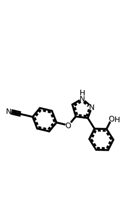 N#Cc1ccc(Oc2c[nH]nc2-c2ccccc2O)cc1